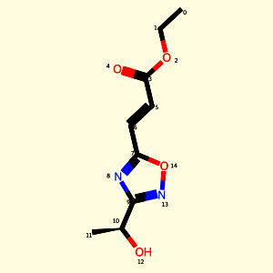 CCOC(=O)/C=C/c1nc([C@H](C)O)no1